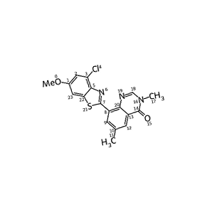 COc1cc(Cl)c2nc(-c3cc(C)cc4c(=O)n(C)cnc34)sc2c1